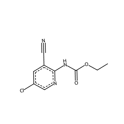 CCOC(=O)Nc1ncc(Cl)cc1C#N